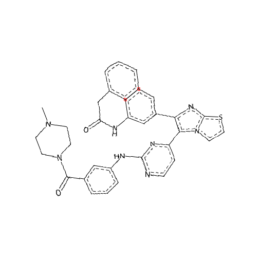 CN1CCN(C(=O)c2cccc(Nc3nccc(-c4c(-c5cccc(NC(=O)Cc6ccccc6)c5)nc5sccn45)n3)c2)CC1